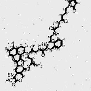 CC[C@@]1(O)C(=O)OCc2c1cc1n(c2=O)Cc2c-1nc1cc(F)c(C)c3c1c2[C@@H](N(CCC(N)=O)C(=O)CNC(=O)[C@H](Cc1ccccc1)NC(=O)CNC(=O)CNC(=O)CCCN1C(=O)C=CC1=O)CC3